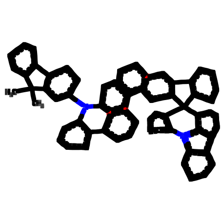 CC1(C)c2ccccc2-c2ccc(N(c3ccc(-c4ccc5c(c4)C4(c6ccccc6-5)c5ccccc5-n5c6ccccc6c6cccc4c65)cc3)c3ccccc3-c3cccc(-c4ccccc4)c3)cc21